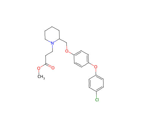 COC(=O)CCN1CCCCC1COc1ccc(Oc2ccc(Cl)cc2)cc1